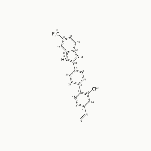 C=Cc1cnc(-c2ccc(-c3nc4ccc(C(F)(F)F)cc4[nH]3)cc2)c(Cl)c1